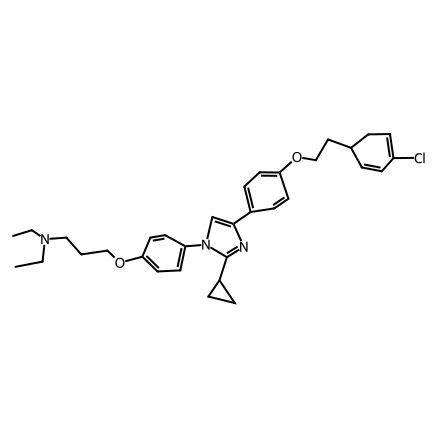 CCN(CC)CCCOc1ccc(-n2cc(-c3ccc(OCCC4C=CC(Cl)=CC4)cc3)nc2C2CC2)cc1